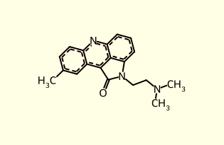 Cc1ccc2nc3cccc4c3c(c2c1)C(=O)N4CCN(C)C